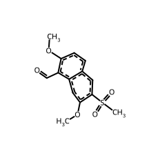 COc1cc2c(C=O)c(OC)ccc2cc1S(C)(=O)=O